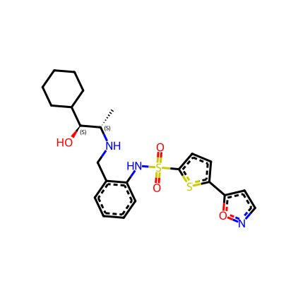 C[C@H](NCc1ccccc1NS(=O)(=O)c1ccc(-c2ccno2)s1)[C@@H](O)C1CCCCC1